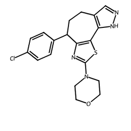 Clc1ccc(C2CCc3cn[nH]c3-c3sc(N4CCOCC4)nc32)cc1